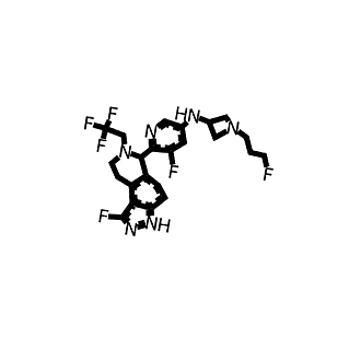 FCCCN1CC(Nc2cnc(C3c4ccc5[nH]nc(F)c5c4CCN3CC(F)(F)F)c(F)c2)C1